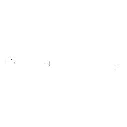 CC1CNCC(C)N1c1ccc(Br)cc1